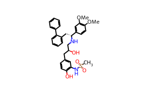 COc1ccc([C@@H](Cc2ccccc2-c2ccccc2)NC[C@@H](O)Cc2ccc(O)c(NS(C)(=O)=O)c2)cc1OC